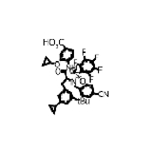 CC(C)(C)c1cc(CC(C(=O)Nc2ccc(C(=O)O)cc2OC2CC2)N(Cc2ccc(C#N)cc2)S(=O)(=O)c2c(F)c(F)c(F)c(F)c2F)cc(C2CC2)c1